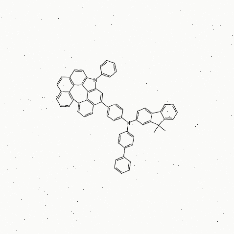 CC1(C)c2ccccc2-c2ccc(N(c3ccc(-c4ccccc4)cc3)c3ccc(-c4cc5c6c7c(cccc47)-c4cccc7ccc8ccc(c6c8c47)n5-c4ccccc4)cc3)cc21